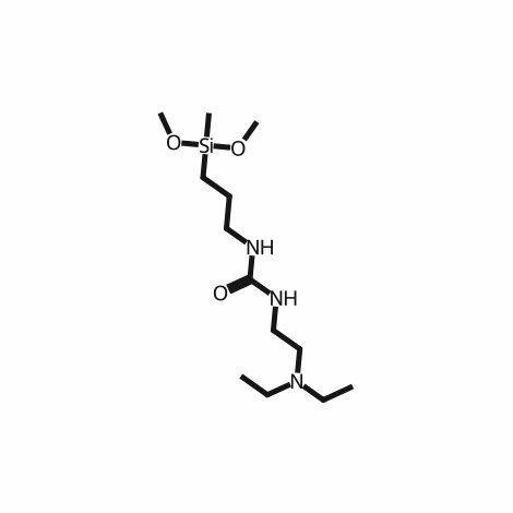 CCN(CC)CCNC(=O)NCCC[Si](C)(OC)OC